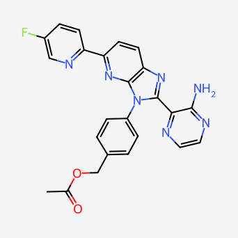 CC(=O)OCc1ccc(-n2c(-c3nccnc3N)nc3ccc(-c4ccc(F)cn4)nc32)cc1